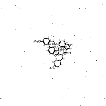 COc1ccc(CNc2ccc3[nH]ccc3c2)c(-c2cccc(C3(C)NC(=N)N(CC4CCN(C(C)=O)CC4)C3=O)c2)c1